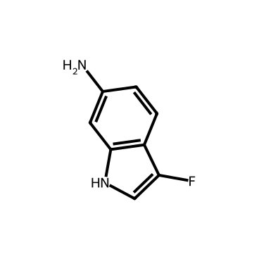 Nc1ccc2c(F)c[nH]c2c1